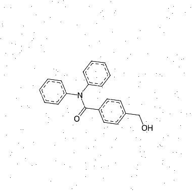 O=C(c1ccc(CO)cc1)N(c1ccccc1)c1ccccc1